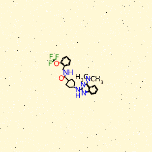 CN(C)c1nc(NC2CCC(C(=O)NCc3ccccc3OC(F)(F)F)CC2)nc2ccccc12